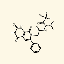 CC(C)C(NC(=O)Cn1c(-c2ccccc2)cc2c(=O)n(C)c(=O)[nH]c2c1=O)C(=O)C(F)(F)F